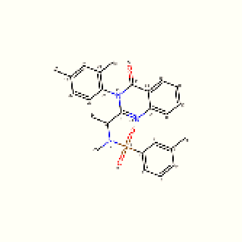 Cc1cccc(S(=O)(=O)N(C)C(C)c2nc3ccccc3c(=O)n2-c2ccc(C)cc2C)c1